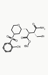 CC(C)C[C@@H](C(N)=O)N(C[C@@H]1CN(S(=O)(=O)c2ccccc2C#N)CCO1)C(=O)OC(C)(C)C